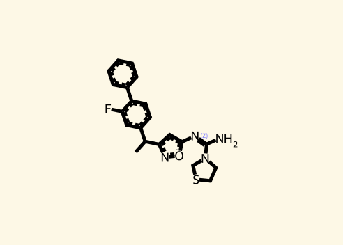 CC(c1ccc(-c2ccccc2)c(F)c1)c1cc(/N=C(/N)N2CCSC2)on1